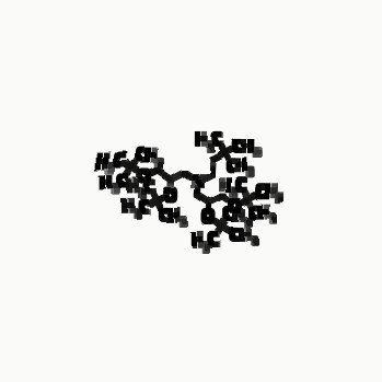 CC(C)(C)CCN(CC(COC(C)(C)C)OC(C)(C)C)CC(COC(C)(C)C)OC(C)(C)C